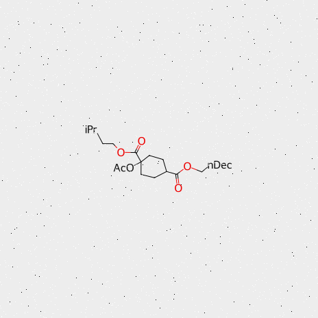 CCCCCCCCCCCOC(=O)C1CCC(OC(C)=O)(C(=O)OCCC(C)C)CC1